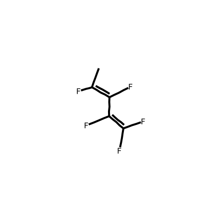 C/C(F)=C(\F)C(F)=C(F)F